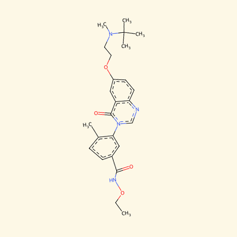 CCONC(=O)c1ccc(C)c(-n2cnc3ccc(OCCN(C)C(C)(C)C)cc3c2=O)c1